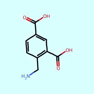 NCc1ccc(C(=O)O)cc1C(=O)O